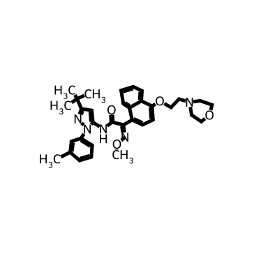 CO/N=C(\C(=O)Nc1cc(C(C)(C)C)nn1-c1cccc(C)c1)c1ccc(OCCN2CCOCC2)c2ccccc12